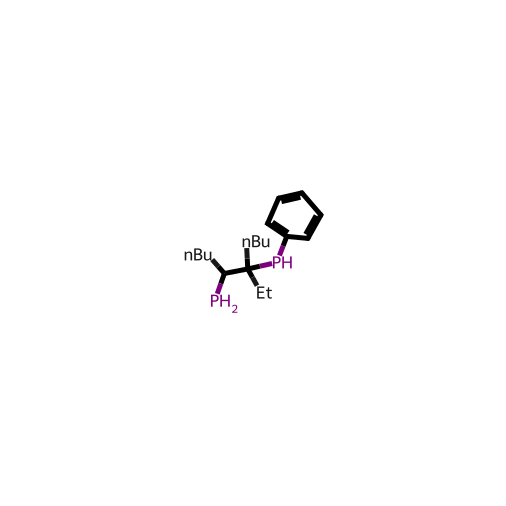 CCCC[C](P)C(CC)(CCCC)Pc1ccccc1